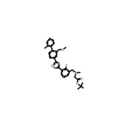 COCc1cc(-c2nc(-c3cccc(CN(C)CC(=O)OC(C)(C)C)c3F)no2)ccc1-c1ccccc1C